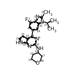 Cc1nc2c(F)cc(-c3nc(NC4CCOCC4)nc4[nH]ccc34)cc2n1C(C)C